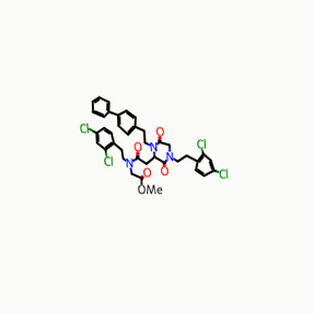 COC(=O)CN(CCc1ccc(Cl)cc1Cl)C(=O)CC1C(=O)N(CCc2ccc(Cl)cc2Cl)CC(=O)N1CCc1ccc(-c2ccccc2)cc1